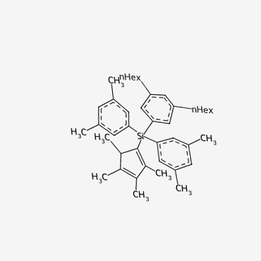 CCCCCCc1cc(CCCCCC)cc([Si](C2=C(C)C(C)=C(C)C2C)(c2cc(C)cc(C)c2)c2cc(C)cc(C)c2)c1